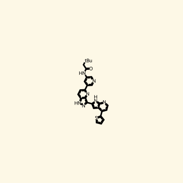 CC(C)(C)CC(=O)Nc1cncc(-c2ccc3[nH]nc(-c4cc5c(-c6cccs6)ccnc5[nH]4)c3n2)c1